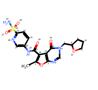 Cc1oc2ncn(CC3CCCO3)c(=O)c2c1C(=O)Nc1ccc(S(N)(=O)=O)nc1